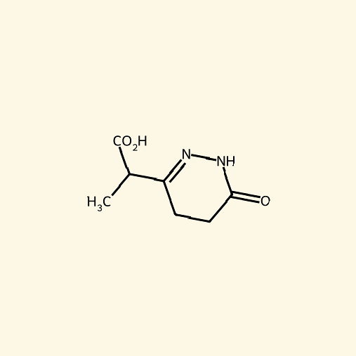 CC(C(=O)O)C1=NNC(=O)CC1